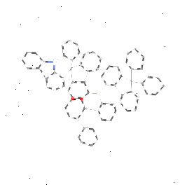 c1ccc(-c2ccccc2-c2ccccc2N(c2cccc3c2-c2ccccc2C32c3ccccc3-c3ccccc32)c2cccc3c2-c2ccccc2C32c3ccccc3-n3c4ccccc4c4cccc2c43)cc1